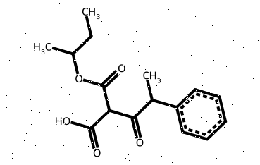 CCC(C)OC(=O)C(C(=O)O)C(=O)C(C)c1ccccc1